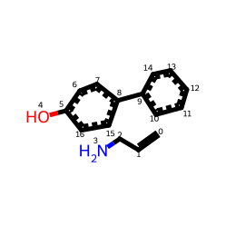 C=CCN.Oc1ccc(-c2ccccc2)cc1